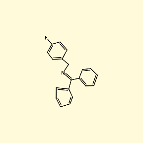 Fc1ccc(CN=C(c2ccccc2)c2ccccc2)cc1